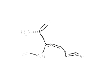 CCN/C(=C\C=N)C(N)=O